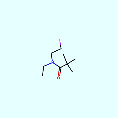 CCN(CCI)C(=O)C(C)(C)C